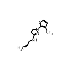 C=CCNC1=NN(c2sccc2C)CC1